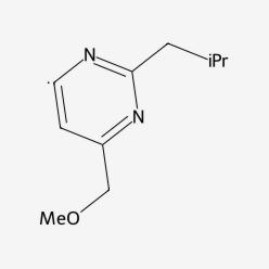 COCc1c[c]nc(CC(C)C)n1